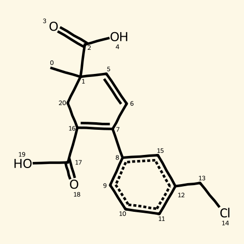 CC1(C(=O)O)C=CC(c2cccc(CCl)c2)=C(C(=O)O)C1